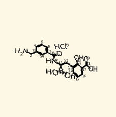 Cl.NCc1cccc(C(=O)NC(Cc2cccc(C(=O)O)c2O)B(O)O)c1